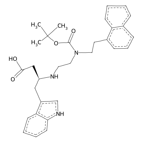 CC(C)(C)OC(=O)N(CCN[C@H](CC(=O)O)Cc1c[nH]c2ccccc12)CCc1cccc2ccccc12